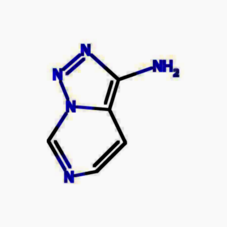 Nc1nnn2cnccc12